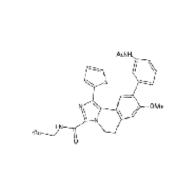 COc1cc2c(cc1-c1cccc(NC(C)=O)c1)-c1c(-c3cccs3)nc(C(=O)NCC(C)(C)C)n1CC2